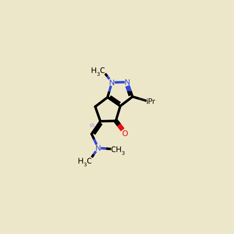 CC(C)c1nn(C)c2c1C(=O)/C(=C\N(C)C)C2